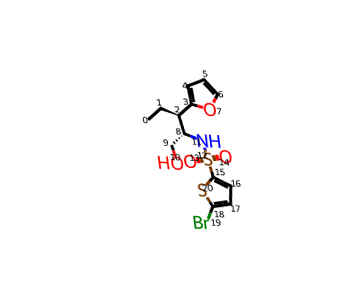 CC[C@@H](c1ccco1)[C@@H](CO)NS(=O)(=O)c1ccc(Br)s1